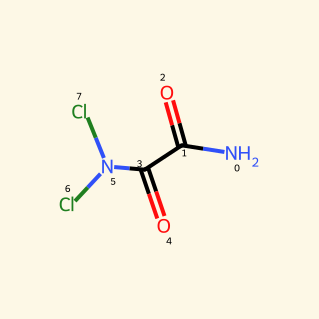 NC(=O)C(=O)N(Cl)Cl